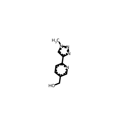 Cn1cc(-c2ccc(CO)cn2)nn1